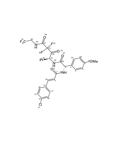 COc1ccc([C@H](NC(=O)/C=C/c2ccc(Cl)cc2)C(=O)N[C@H](C(=O)C(F)(F)C(=O)NCC(F)(F)F)C(C)C)cc1